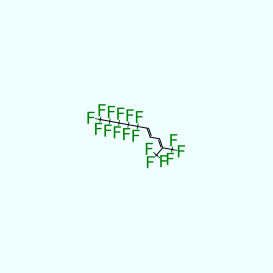 FC(F)(F)C(=CC=CC(F)(F)C(F)(F)C(F)(F)C(F)(F)C(F)(F)F)C(F)(F)F